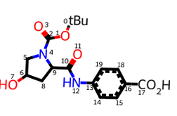 CC(C)(C)OC(=O)N1CC(O)CC1C(=O)Nc1ccc(C(=O)O)cc1